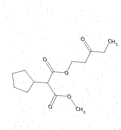 CCC(=O)CCOC(=O)C(C(=O)OC)C1CCCC1